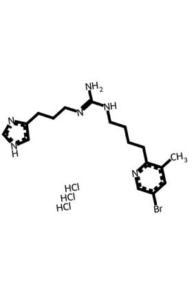 Cc1cc(Br)cnc1CCCCNC(N)=NCCCc1c[nH]cn1.Cl.Cl.Cl